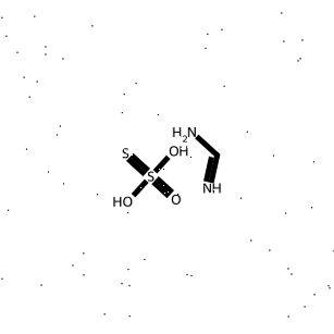 N=CN.O=S(O)(O)=S